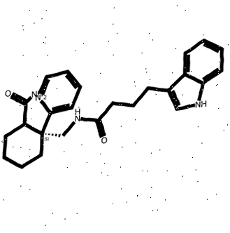 NC(=O)C1CCCC[C@]1(CNC(=O)[CH]CCc1c[nH]c2ccccc12)c1ccccn1